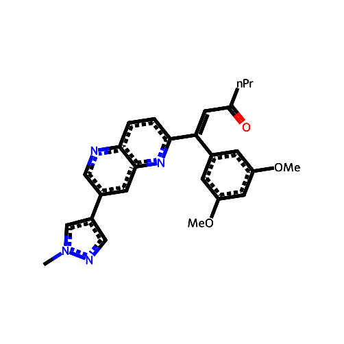 CCCC(=O)/C=C(\c1cc(OC)cc(OC)c1)c1ccc2ncc(-c3cnn(C)c3)cc2n1